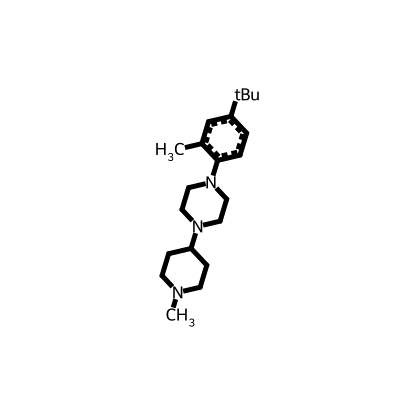 Cc1cc(C(C)(C)C)ccc1N1CCN(C2CCN(C)CC2)CC1